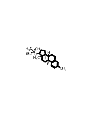 Cc1ccc2c(c1)CC[C@@H]1[C@@H]2CC[C@]2(C)[C@@H](O[Si](C)(C)C(C)(C)C)CC[C@@H]12